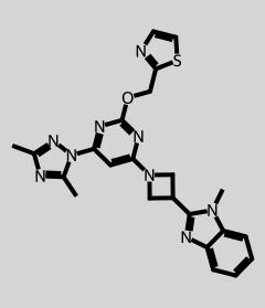 Cc1nc(C)n(-c2cc(N3CC(c4nc5ccccc5n4C)C3)nc(OCc3nccs3)n2)n1